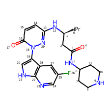 CC(C)[C@@H](CC(=O)NC1CCNCC1)Nc1ccc(=O)n(-c2c[nH]c3ncc(F)cc23)n1